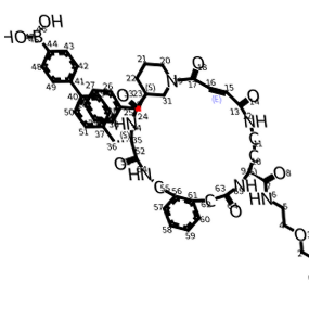 NCCOCCNC(=O)[C@@H]1CCNC(=O)/C=C/C(=O)N2CCC[C@](Cc3ccccc3)(C2)C(=O)N[C@@H](Cc2ccc(-c3ccc(B(O)O)cc3)cc2)C(=O)NCc2ccccc2CC(=O)N1